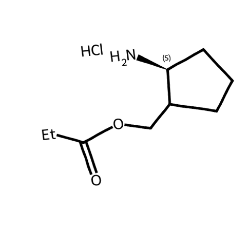 CCC(=O)OCC1CCC[C@@H]1N.Cl